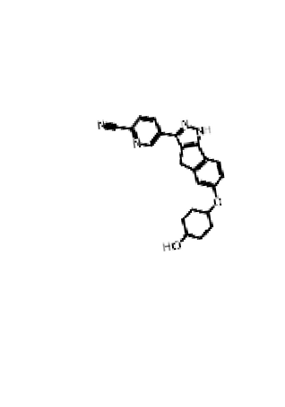 N#Cc1ccc(-c2n[nH]c3c2Cc2cc(OC4CCC(O)CC4)ccc2-3)cn1